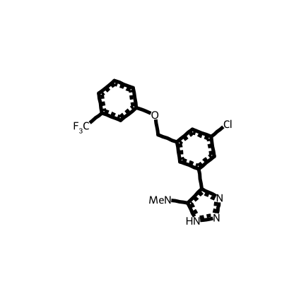 CNc1[nH]nnc1-c1cc(Cl)cc(COc2cccc(C(F)(F)F)c2)c1